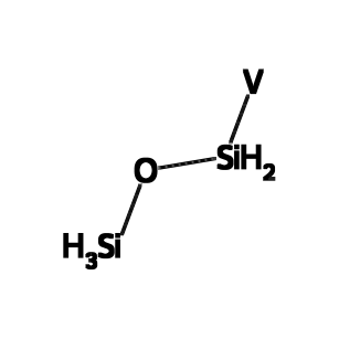 [SiH3]O[SiH2][V]